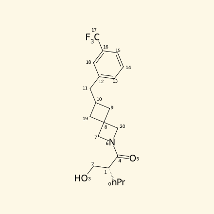 CCC[C@H](CO)C(=O)N1CC2(CC(Cc3cccc(C(F)(F)F)c3)C2)C1